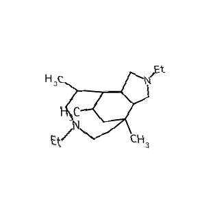 CCN1CCC2(C)CC(C)C(C(C)C1)C1CN(CC)CC12